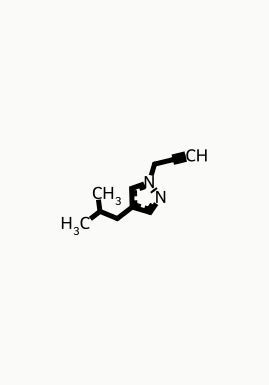 C#CCn1cc(CC(C)C)cn1